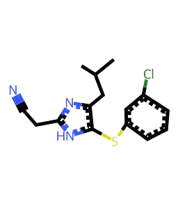 CC(C)Cc1nc(CC#N)[nH]c1Sc1cccc(Cl)c1